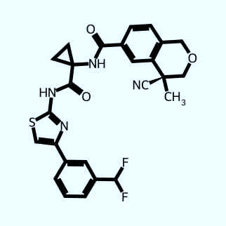 C[C@@]1(C#N)COCc2ccc(C(=O)NC3(C(=O)Nc4nc(-c5cccc(C(F)F)c5)cs4)CC3)cc21